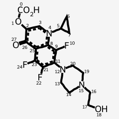 O=C(O)Oc1cn(C2CC2)c2c(F)c(N3CCN(CCO)CC3)c(F)c(F)c2c1=O